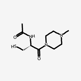 CC(=O)N[C@@H](CS)C(=O)N1CCN(C)CC1